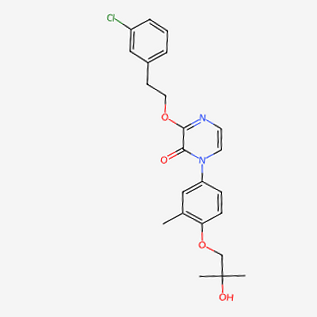 Cc1cc(-n2ccnc(OCCc3cccc(Cl)c3)c2=O)ccc1OCC(C)(C)O